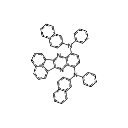 c1ccc(N(c2ccc3ccccc3c2)c2ccc(N(c3ccccc3)c3ccc4ccccc4c3)c3nc4c(nc23)-c2cccc3cccc-4c23)cc1